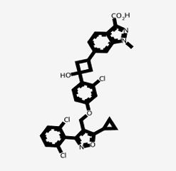 Cn1nc(C(=O)O)c2ccc(C3CC(O)(c4ccc(OCc5c(-c6c(Cl)cccc6Cl)noc5C5CC5)cc4Cl)C3)cc21